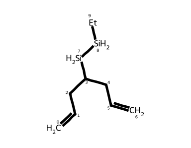 C=CCC(CC=C)[SiH2][SiH2]CC